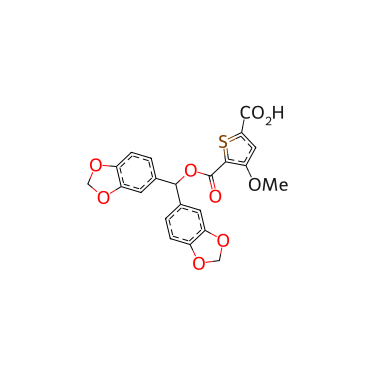 COc1cc(C(=O)O)sc1C(=O)OC(c1ccc2c(c1)OCO2)c1ccc2c(c1)OCO2